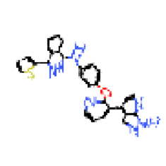 c1csc(-c2nnc(Nc3ccc(Oc4ncccc4-c4ccnc5[nH]ncc45)cc3)c3ccccc23)c1